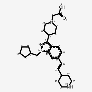 O=C(O)CN1CCC(c2nn(CC3CCCC3)c3cc(C=CC4CCNCC4)ccc23)CC1